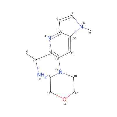 CC(N)c1nc2ccn(C)c2cc1N1CCOCC1